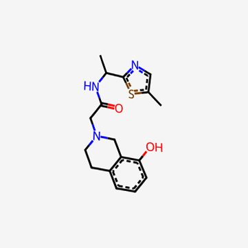 Cc1cnc(C(C)NC(=O)CN2CCc3cccc(O)c3C2)s1